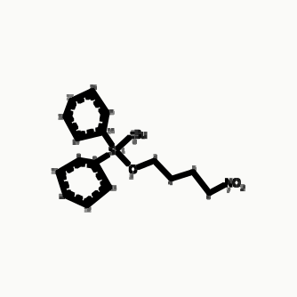 CC(C)(C)[Si](OCCCC[N+](=O)[O-])(c1ccccc1)c1ccccc1